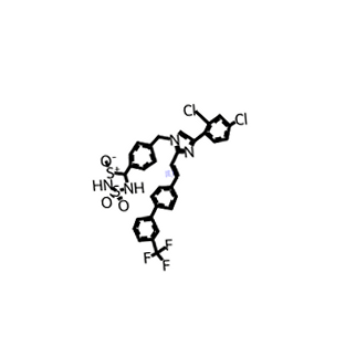 O=S1(=O)NC(c2ccc(Cn3cc(-c4ccc(Cl)cc4Cl)nc3/C=C/c3ccc(-c4cccc(C(F)(F)F)c4)cc3)cc2)[S+]([O-])N1